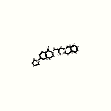 O=C1c2ccc(N3CCCC3)cc2CCN1CC(O)CN1CCc2ccccc2C1